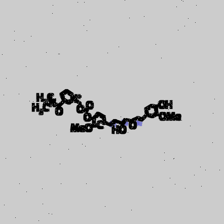 COc1cc(/C=C/C(=O)/C=C(O)/C=C/c2ccc(OC(=O)OC[n+]3cccc(C(=O)N(C)C)c3)c(OC)c2)ccc1O